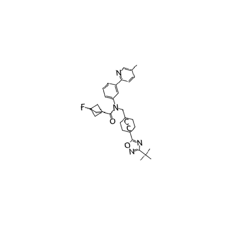 Cc1ccc(-c2cccc(N(CC34CCC(c5nc(C(C)(C)C)no5)(CC3)CC4)C(=O)C34CC(F)(C3)C4)c2)nc1